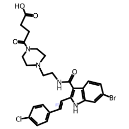 O=C(O)CCC(=O)N1CCN(CCNC(=O)c2c(/C=C/c3ccc(Cl)cc3)[nH]c3cc(Br)ccc23)CC1